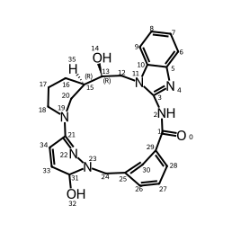 O=C1Nc2nc3ccccc3n2C[C@H](O)[C@@H]2CCCN(C2)C2=NN(Cc3cccc1c3)C(O)C=C2